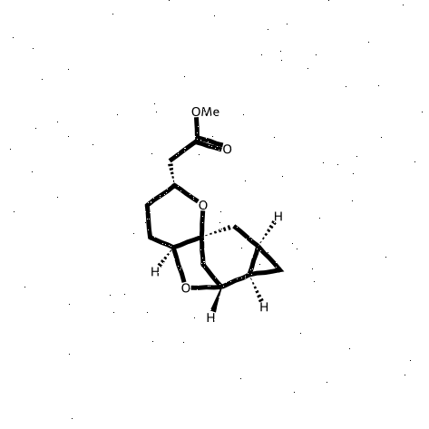 COC(=O)C[C@H]1CC[C@@H]2O[C@@H]3C[C@]2(C[C@H]2C[C@H]23)O1